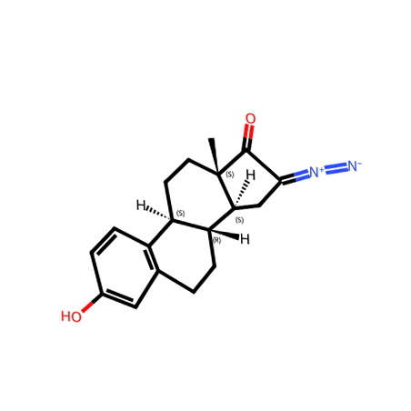 C[C@]12CC[C@@H]3c4ccc(O)cc4CC[C@H]3[C@@H]1CC(=[N+]=[N-])C2=O